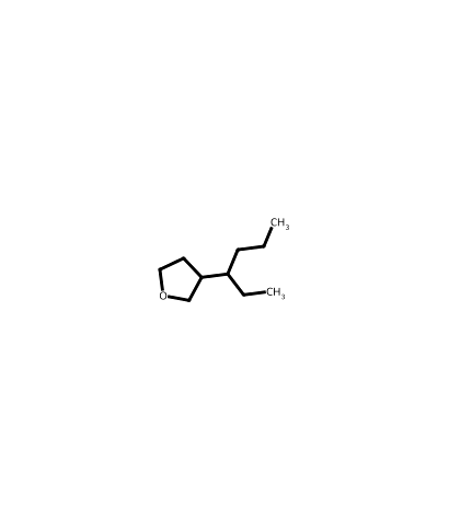 CCCC(CC)C1CCOC1